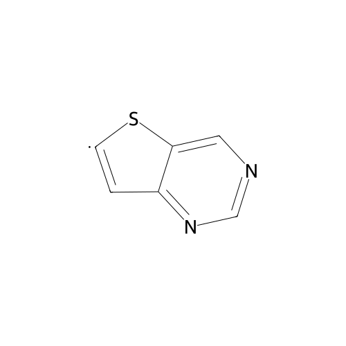 [c]1cc2ncncc2s1